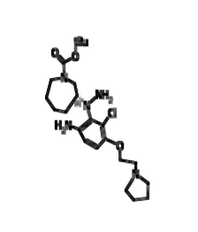 CC(C)(C)OC(=O)N1CCCC[C@@H](N(N)c2c(N)ccc(OCCN3CCCC3)c2Cl)C1